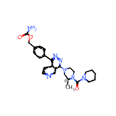 C[C@H]1CN(c2nnc(-c3ccc(COC(N)=O)cc3)c3ccncc23)CCN1C(=O)N1CCCCC1